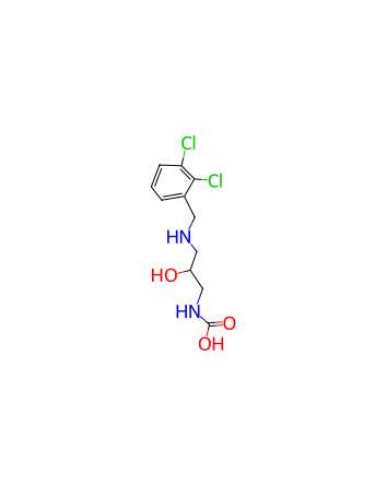 O=C(O)NCC(O)CNCc1cccc(Cl)c1Cl